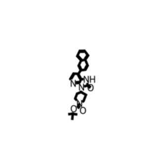 CC(C)(C)OC(=O)N1CCC(n2c(=O)[nH]c3c(-c4ccc5ccccc5c4)ccnc32)CC1